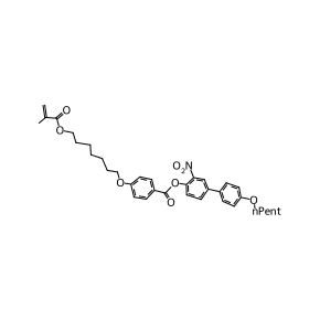 C=C(C)C(=O)OCCCCCCCOc1ccc(C(=O)Oc2ccc(-c3ccc(OCCCCC)cc3)cc2[N+](=O)[O-])cc1